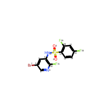 O=S(=O)(Nc1cc(Br)cnc1F)c1ccc(F)cc1F